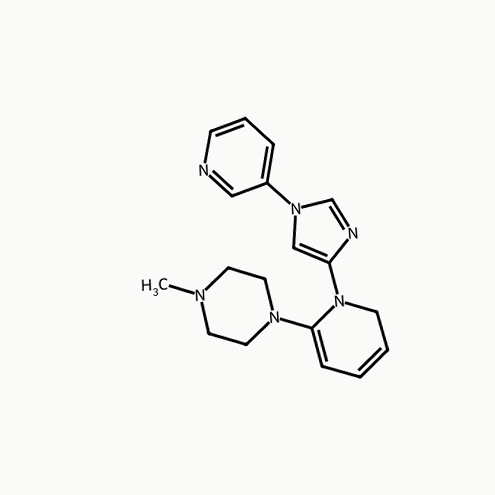 CN1CCN(C2=CC=CCN2c2cn(-c3cccnc3)cn2)CC1